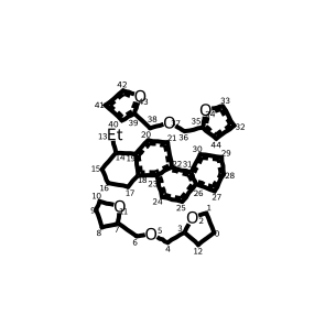 C1COC(COCC2CCCO2)C1.CCC1CCCc2c1ccc1c2ccc2ccccc21.c1coc(COCc2ccco2)c1